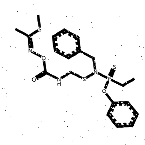 CCP(=S)(Oc1ccccc1)N(Cc1ccccc1)SCNC(=O)ON=C(C)SC